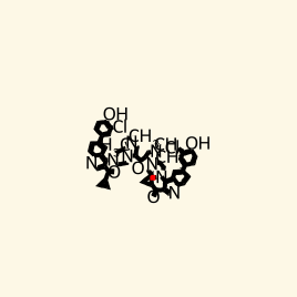 CN(C)CC(C(=O)C(CN(C)C)N1CCN(c2c(C(=O)C3CC3)cnc3ccc(-c4ccc(O)c(Cl)c4)cc23)CC1)N1CCN(c2c(C(=O)C3CC3)cnc3ccc(-c4ccc(O)c(Cl)c4)cc23)CC1